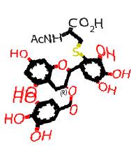 CC(=O)NC(CSc1c(C2Oc3cc(O)cc(O)c3C[C@H]2OC(=O)c2cc(O)c(O)c(O)c2)cc(O)c(O)c1O)C(=O)O